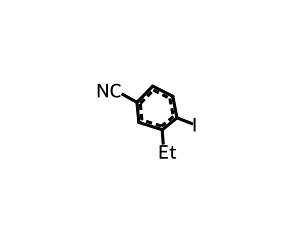 CCc1cc(C#N)ccc1I